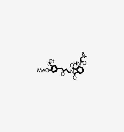 CCOc1cc(CC(=O)CCN2C(=O)c3cccc(NC(=O)CN(C)C)c3C2=O)ccc1OC